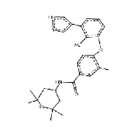 Cc1cc(C(=O)NC2CC(C)(C)NC(C)(C)C2)ccc1Oc1cccc(-c2cn[nH]c2)c1C#N